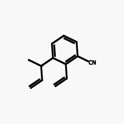 C=C[C](C)c1cccc(C#N)c1C=C